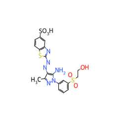 Cc1nn(-c2cccc(S(=O)(=O)CCO)c2)c(N)c1/N=N/c1nc2cc(S(=O)(=O)O)ccc2s1